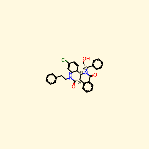 O=C(NCCc1ccccc1)[C@H]1c2ccccc2C(=O)N([C@H](CO)c2ccccc2)[C@@H]1C1C=CC(Cl)=CC1